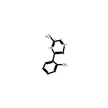 Cc1ccccc1-c1cncc(N)n1